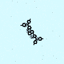 Cc1ccc(N(c2ccc(C)cc2)c2ccc3c(c2)[Si](C)(C)c2ccc4c5c(ccc-3c25)-c2ccc(N(c3ccc(C)cc3)c3ccc(C)cc3)cc2[Si]4(C)C)cc1